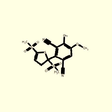 COc1cc(C#N)c(C2(S(C)(=O)=O)CC=C(S(C)(=O)=O)S2)c(C#N)c1O